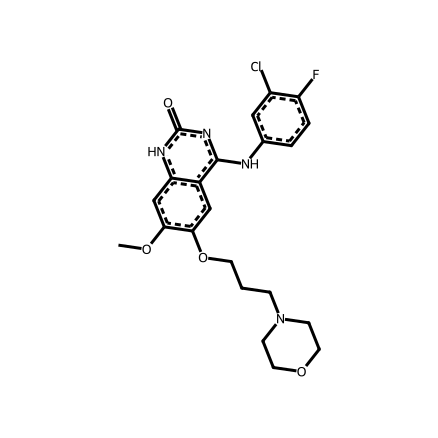 COc1cc2[nH]c(=O)nc(Nc3ccc(F)c(Cl)c3)c2cc1OCCCN1CCOCC1